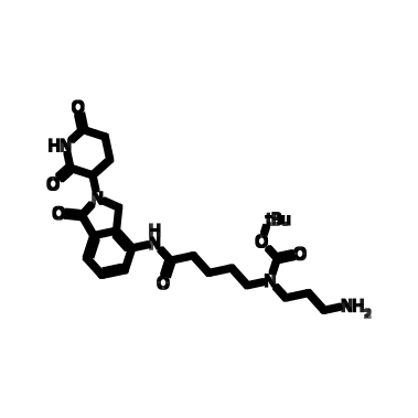 CC(C)(C)OC(=O)N(CCCN)CCCCC(=O)Nc1cccc2c1CN(C1CCC(=O)NC1=O)C2=O